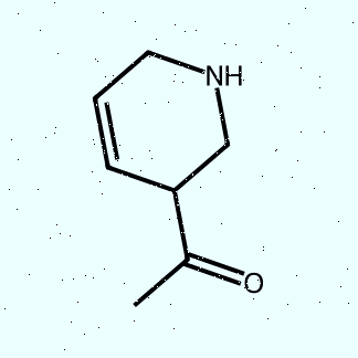 CC(=O)C1C=CCNC1